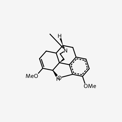 COC1=CCC2[C@@H]3Cc4ccc(OC)c5c4[C@]2(CCN3C)[C@@H]1O5